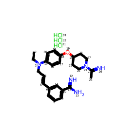 CCN(C/C=C/c1cccc(C(=N)N)c1)c1ccc(OC2CCN(C(C)=N)CC2)cc1.Cl.Cl.Cl